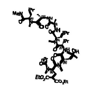 CCCC(=O)N(C)[C@H](CC(C(=O)OCC)C(=O)OCC)C(=O)N(C)[C@@H](CC(C)(C)O)C(=O)N[C@H](C(=O)N(C)[C@@H](CC(C)C)C(=O)N[C@H](C)C(=O)N[C@@H](C)C(=O)N(C)[C@@H](CC(C)C)C(=O)NC)C(C)C